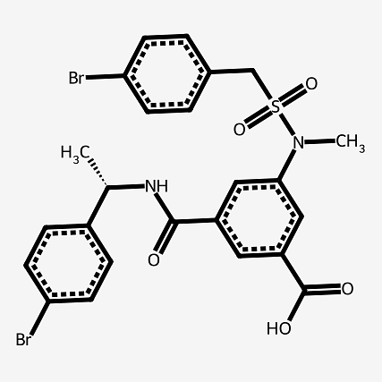 C[C@H](NC(=O)c1cc(C(=O)O)cc(N(C)S(=O)(=O)Cc2ccc(Br)cc2)c1)c1ccc(Br)cc1